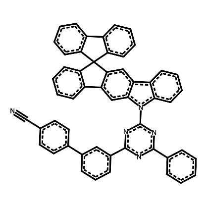 N#Cc1ccc(-c2cccc(-c3nc(-c4ccccc4)nc(-n4c5ccccc5c5cc6c(cc54)-c4ccccc4C64c5ccccc5-c5ccccc54)n3)c2)cc1